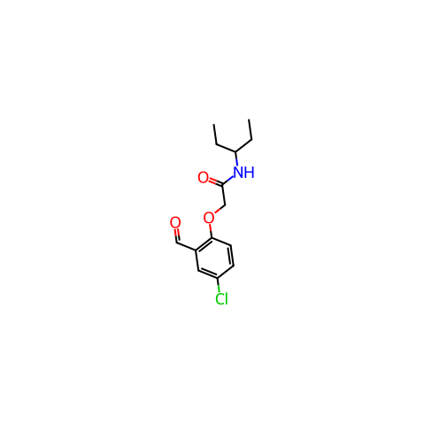 CCC(CC)NC(=O)COc1ccc(Cl)cc1C=O